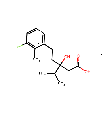 Cc1c(F)cccc1CCC(O)(CC(=O)O)C(C)C